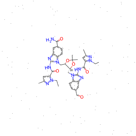 CCn1nc(C)cc1C(=O)Nc1nc2cc(C(N)=O)ccc2n1CC1OC(C)(C)O[C@@H]1Cn1c(NC(=O)c2cc(C)nn2CC)nc2cc(C=O)ccc21